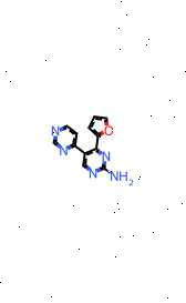 Nc1ncc(-c2ccncn2)c(-c2ccco2)n1